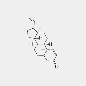 C=C[C@H]1CC[C@H]2[C@@H]3CCC4CC(=O)C=C[C@]4(C)[C@H]3CC[C@]12C